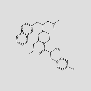 CCCC1CN(C(Cc2ccc3ccccc3c2)CN(C)C)CCN1C(=O)C(N)Cc1ccc(F)cc1